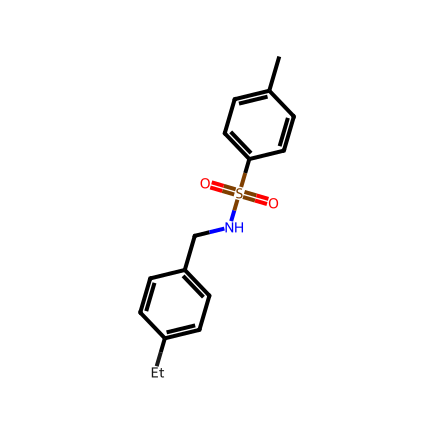 CCc1ccc(CNS(=O)(=O)c2ccc(C)cc2)cc1